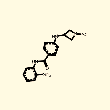 CC(=O)N1CC(Nc2ccc(C(=O)Nc3ccccc3N)cc2)C1